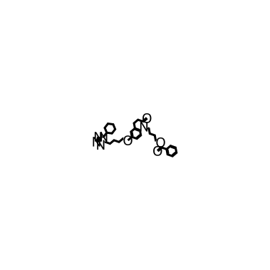 O=C(OCCCCN1C(=O)CCc2cc(OCCCCc3nnnn3C3CCCCC3)ccc21)c1ccccc1